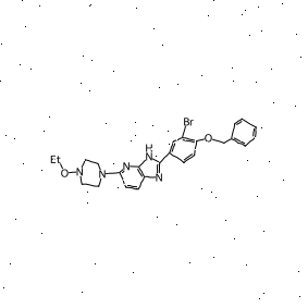 CCON1CCN(c2ccc3nc(-c4ccc(OCc5ccccc5)c(Br)c4)[nH]c3n2)CC1